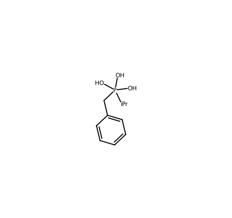 CC(C)P(O)(O)(O)Cc1ccccc1